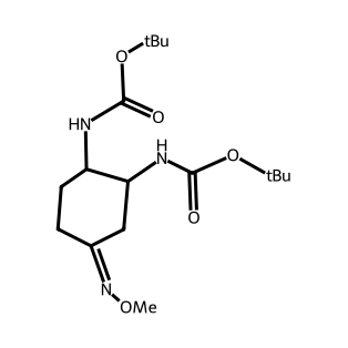 CO/N=C1/CCC(NC(=O)OC(C)(C)C)C(NC(=O)OC(C)(C)C)C1